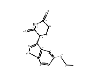 CCOc1ccc2occ(C3CCC(=O)NC3=O)c2c1